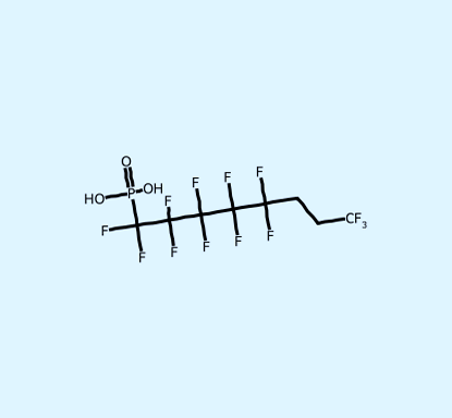 O=P(O)(O)C(F)(F)C(F)(F)C(F)(F)C(F)(F)C(F)(F)CCC(F)(F)F